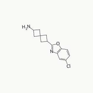 NC1CC2(C1)CC(c1nc3cc(Cl)ccc3o1)C2